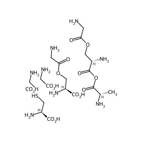 C[C@H](N)C(=O)OC(=O)[C@@H](N)COC(=O)CN.NCC(=O)O.NCC(=O)O.NCC(=O)OC[C@H](N)C(=O)O.N[C@@H](CS)C(=O)O